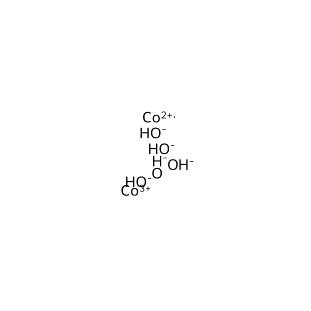 [Co+2].[Co+3].[OH-].[OH-].[OH-].[OH-].[OH-]